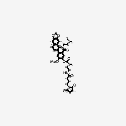 COc1cc2c(cc1OC(=O)N(C)CCNC(=O)CCCN1C(=O)C=CC1=O)c(=O)n(CCN(C)C)c1c3cc4c(cc3ccc21)OCO4